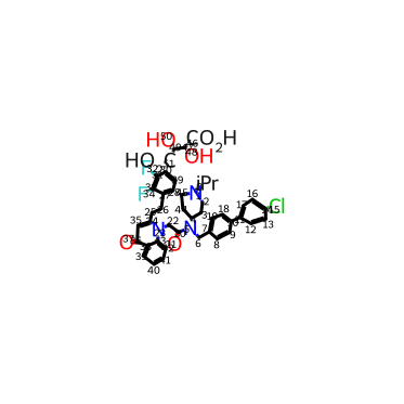 CC(C)N1CCC(N(Cc2ccc(-c3ccc(Cl)cc3)cc2)C(=O)Cn2c(CCc3cccc(F)c3F)cc(=O)c3ccccc32)CC1.O=C(O)C(O)C(O)C(=O)O